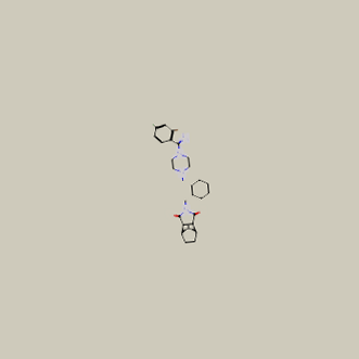 O=C1C2C3CCC(C3)C2C(=O)N1C[C@@H]1CCCC[C@H]1CN1CCN(c2nsc3cc(F)ccc23)CC1